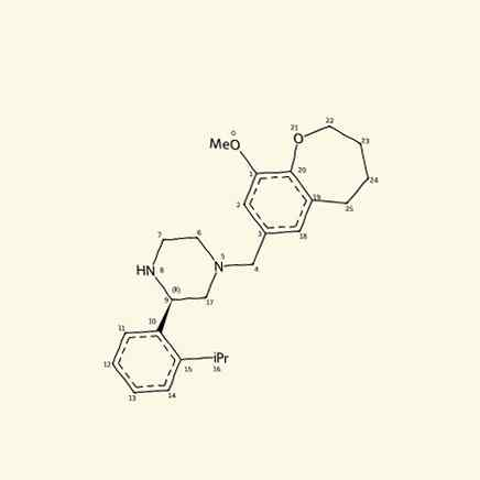 COc1cc(CN2CCN[C@H](c3ccccc3C(C)C)C2)cc2c1OCCCC2